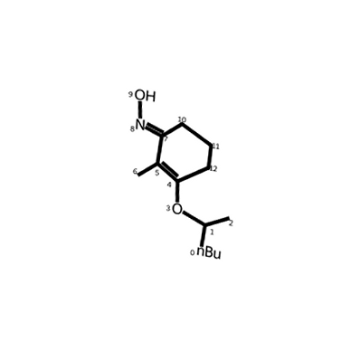 CCCCC(C)OC1=C(C)/C(=N/O)CCC1